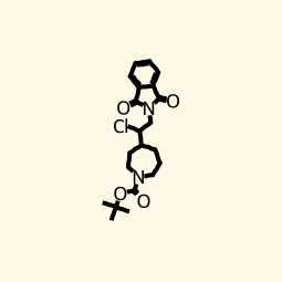 CC(C)(C)OC(=O)N1CCCC(C(Cl)CN2C(=O)c3ccccc3C2=O)CC1